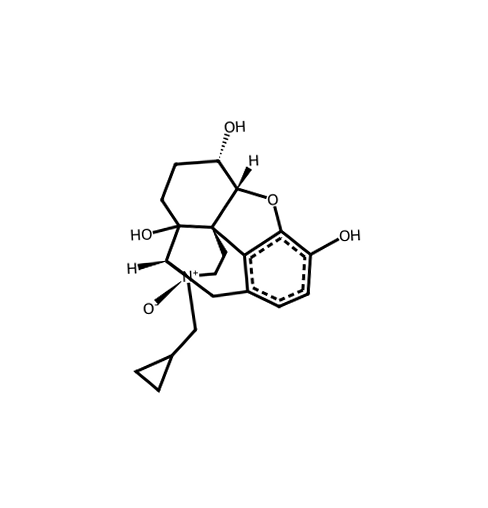 [O-][N@+]1(CC2CC2)CC[C@]23c4c5ccc(O)c4O[C@H]2[C@@H](O)CCC3(O)[C@H]1C5